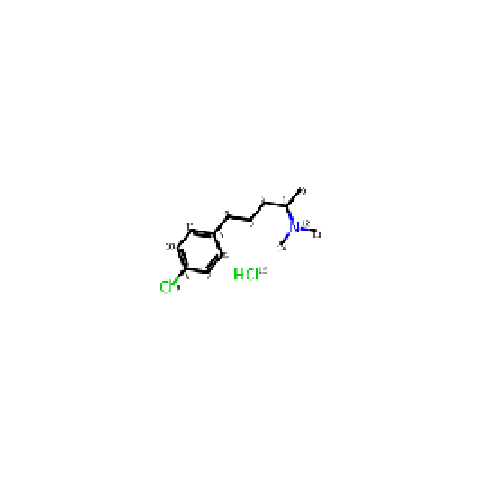 CC(CCCc1ccc(Cl)cc1)N(C)C.Cl